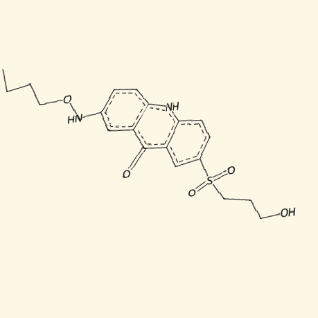 CCCCONc1ccc2[nH]c3ccc(S(=O)(=O)CCCO)cc3c(=O)c2c1